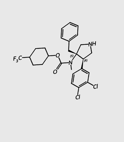 CN(C(=O)OC1CCC(C(F)(F)F)CC1)[C@]1(Cc2ccccc2)CNC[C@H]1c1ccc(Cl)c(Cl)c1